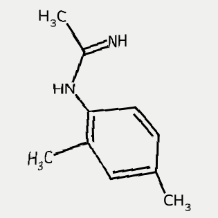 CC(=N)Nc1ccc(C)cc1C